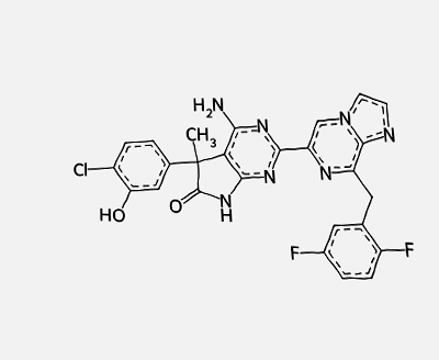 CC1(c2ccc(Cl)c(O)c2)C(=O)Nc2nc(-c3cn4ccnc4c(Cc4cc(F)ccc4F)n3)nc(N)c21